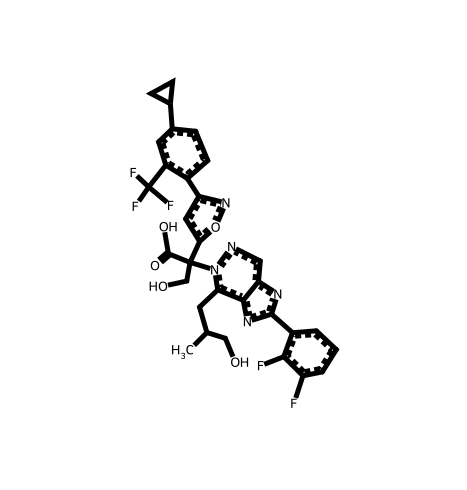 CC(CO)Cc1c2nc(-c3cccc(F)c3F)nc-2cnn1C(CO)(C(=O)O)c1cc(-c2ccc(C3CC3)cc2C(F)(F)F)no1